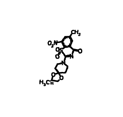 Cc1cc2c(c([N+](=O)[O-])c1)S(=O)(=O)C(N1CCC3(CC1)OC[C@H](C)O3)=NC2=O